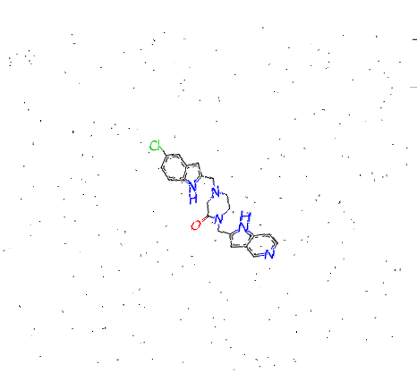 O=C1CN(Cc2cc3cc(Cl)ccc3[nH]2)CCN1Cc1cc2cnccc2[nH]1